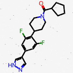 O=C(C1CCCC1)N1CCC(c2c(F)cc(-c3cn[nH]c3)cc2F)CC1